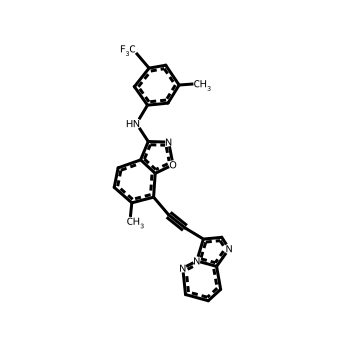 Cc1cc(Nc2noc3c(C#Cc4cnc5cccnn45)c(C)ccc23)cc(C(F)(F)F)c1